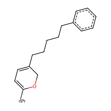 CCCC1=CC=C(CC[CH]CCc2ccccc2)CO1